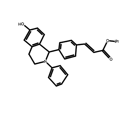 CC(C)OC(=O)C=Cc1ccc(C2c3ccc(O)cc3CCN2c2ccccc2)cc1